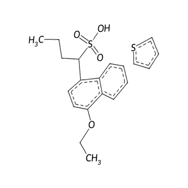 CCCC(c1ccc(OCC)c2ccccc12)S(=O)(=O)O.c1ccsc1